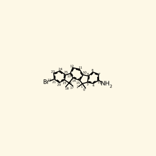 CC1(C)c2cc(N)ccc2-c2ccc3c(c21)C(C)(C)c1cc(Br)ccc1-3